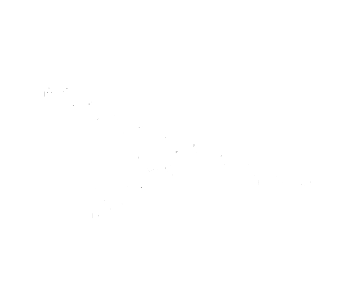 CCCCCCCCCC(CCCCCCCCC=N)OC(=O)CCCN(C)C